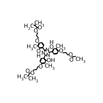 C=C(C)C(=O)OCCCOc1ccc(-c2nc(-c3ccc(OCCCOC(=O)CC)c(C)c3O)nc(-c3ccc(OCCCOC(=O)C(=C)C)c(C)c3O)n2)c(O)c1C